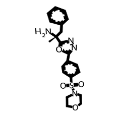 C[C@@](N)(Cc1ccccc1)c1nnc(-c2ccc(S(=O)(=O)N3CCOCC3)cc2)o1